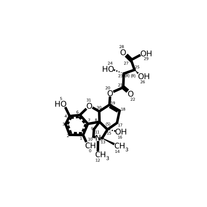 Cc1ccc(O)c2c1C13CCN(C)[C@H](C)[C@]1(O)CC=C(OC(=O)[C@H](O)[C@@H](O)C(=O)O)C3O2